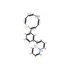 B1/C=C\C=C/N/C=C\C=C/1c1cccc(C2=CC=CN3C=CC=CB23)c1